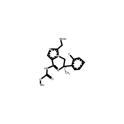 CC(=O)NCc1ncc2n1C[C@@](C)(c1ccccc1F)N=C2NC(=O)OC(C)(C)C